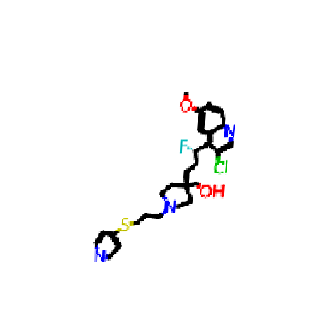 COc1ccc2ncc(Cl)c([C@@H](F)CCC3(CO)CCN(CCCSc4ccncc4)CC3)c2c1